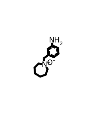 Nc1cccc(C[N+]2([O-])CCCCCC2)c1